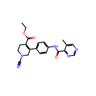 CCOC(=O)C1=C(c2ccc(NC(=O)c3ncncc3C)cc2)CN(C#N)CC1